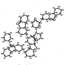 c1ccc(-c2cc(-c3cccc4oc5ccc(-c6ccc7sc8cccc(-c9ccc%10c(c9)c9ccccc9n%10-c9ccccc9)c8c7c6)cc5c34)nc(-c3ccc4c(c3)oc3ccccc34)n2)cc1